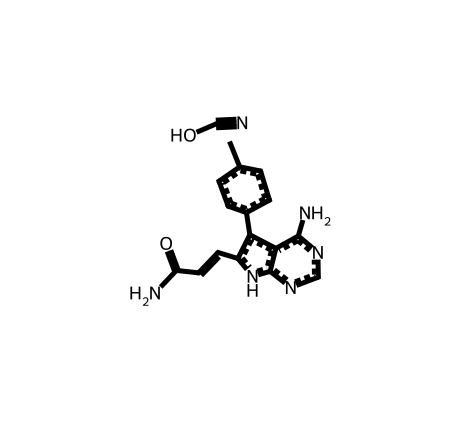 Cc1ccc(-c2c(/C=C/C(N)=O)[nH]c3ncnc(N)c23)cc1.N#CO